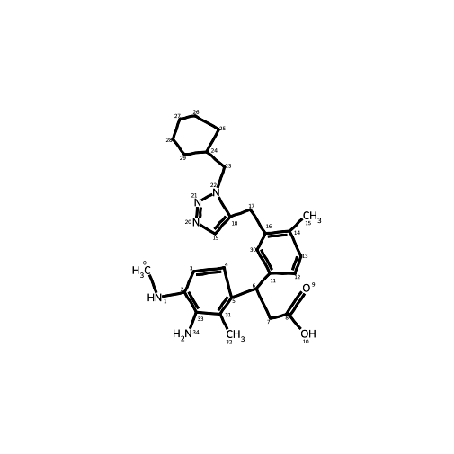 CNc1ccc(C(CC(=O)O)c2ccc(C)c(Cc3cnnn3CC3CCCCC3)c2)c(C)c1N